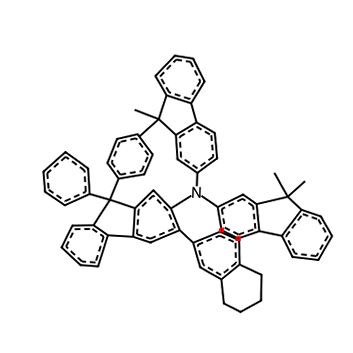 CC1(C)c2ccccc2-c2ccc(N(c3ccc4c(c3)C(C)(C)c3ccccc3-4)c3cc4c(cc3-c3ccc5c(c3)CCCC5)-c3ccccc3C4(c3ccccc3)c3ccccc3)cc21